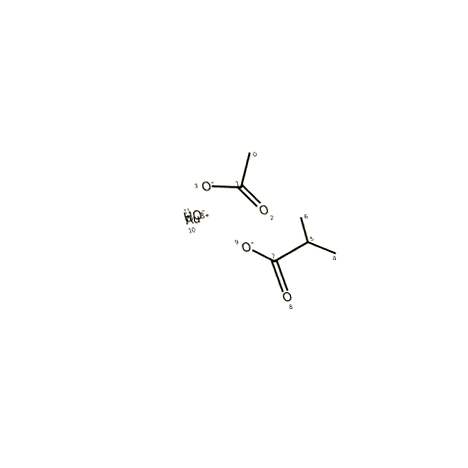 CC(=O)[O-].CC(C)C(=O)[O-].[Au+3].[OH-]